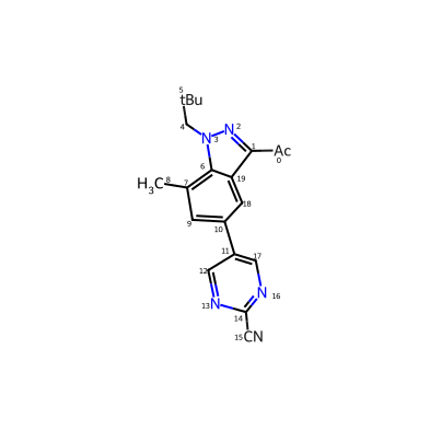 CC(=O)c1nn(CC(C)(C)C)c2c(C)cc(-c3cnc(C#N)nc3)cc12